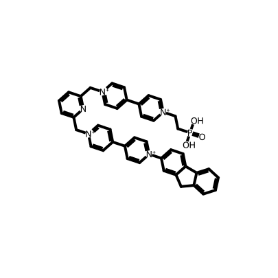 O=P(O)(O)CC[n+]1ccc(-c2cc[n+](Cc3cccc(C[n+]4ccc(-c5cc[n+](-c6ccc7c(c6)Cc6ccccc6-7)cc5)cc4)n3)cc2)cc1